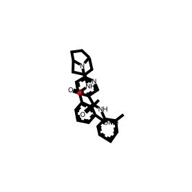 COc1cccc(C(=O)NC2CC3CCC(C2)N3c2ccc(C(=O)Nc3ccccc3C)cn2)c1C